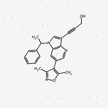 Cc1noc(C)c1-c1cnc2c(C#CCO)cn(C(C)c3ccccc3)c2c1